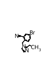 CCc1nccn1Cc1ccc(Br)cc1C#N